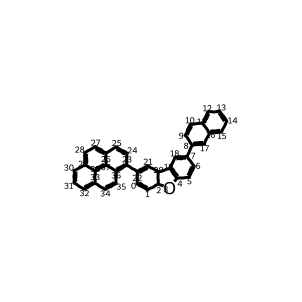 C1=CC2Oc3ccc(-c4ccc5ccccc5c4)cc3C2C=C1c1ccc2ccc3cccc4ccc1c2c34